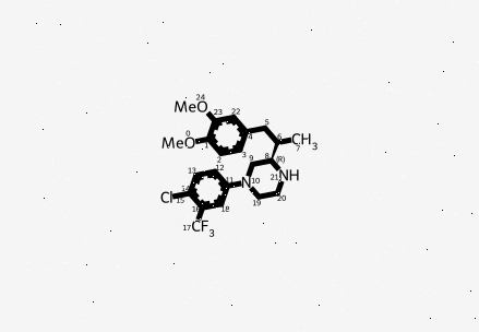 COc1ccc(CC(C)[C@@H]2CN(c3ccc(Cl)c(C(F)(F)F)c3)CCN2)cc1OC